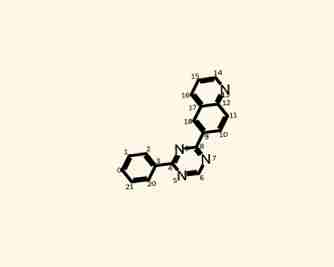 c1ccc(-c2ncnc(-c3ccc4ncccc4c3)n2)cc1